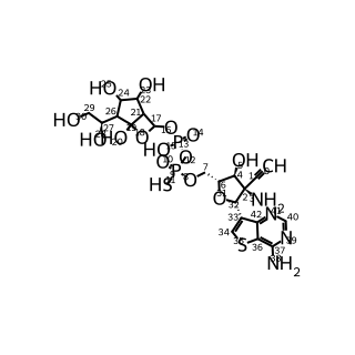 C#C[C@@]1(N)[C@H](O)[C@@H](COP(=O)(S)OP(=O)(O)OC2OC3(O)C2C(O)C(O)C3[C@@H](O)CO)O[C@H]1c1csc2c(N)ncnc12